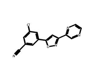 N#Cc1cc(Cl)cc(-c2cc(-c3cnccn3)no2)c1